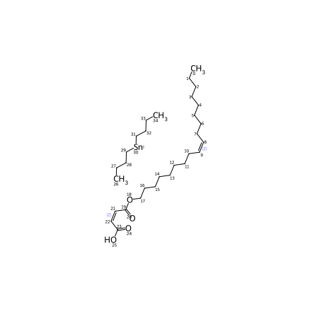 CCCCCCCC/C=C\CCCCCCCCOC(=O)/C=C\C(=O)O.CCC[CH2][Sn][CH2]CCC